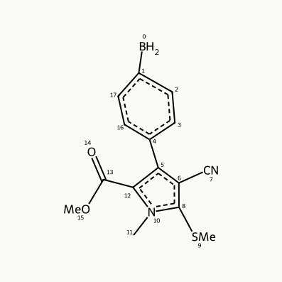 Bc1ccc(-c2c(C#N)c(SC)n(C)c2C(=O)OC)cc1